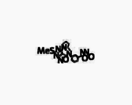 CSc1nc(N(C)C)c2c(n1)N1CCCC1CN(c1cccc(-c3nn(C)c(=O)o3)c1)C2=O